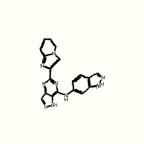 c1ccn2cc(-c3nc(Nc4ccc5cn[nH]c5c4)c4[nH]ncc4n3)nc2c1